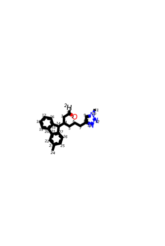 [2H]C(=O)CC(CCCc1cn(C)nn1)C1c2ccccc2-c2cc(C)ccc21